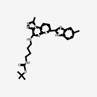 Cc1ccc2[nH]c(-c3ccc4c(c3)nc(NCCCCNC(=O)OC(C)(C)C)c3nnc(C)n34)nc2c1